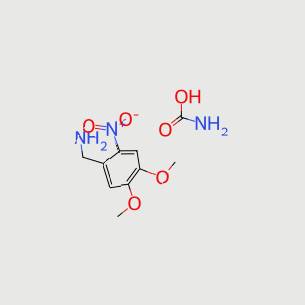 COc1cc(CN)c([N+](=O)[O-])cc1OC.NC(=O)O